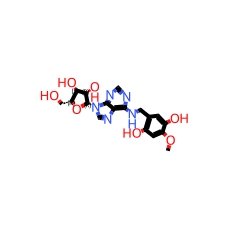 COc1cc(O)c(CNc2ncnc3c2ncn3[C@@H]2O[C@H](CO)[C@@H](O)[C@H]2O)cc1O